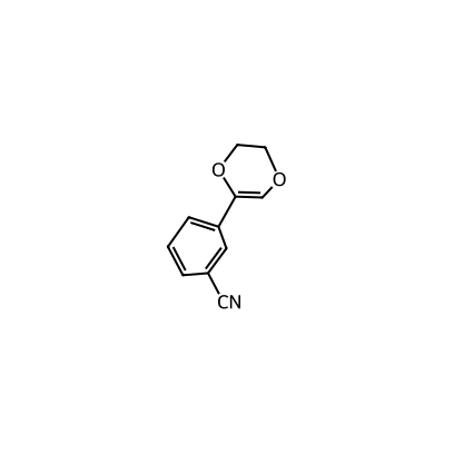 N#Cc1cccc(C2=COCCO2)c1